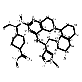 CC[C@H](C1CCC(C(=O)OC)CC1)N(C)c1nc2c(c(N[C@@H](CN3CCC[C@H](C)C3)c3cnn(C)c3)n1)CN(C1CCCCC1)CC2